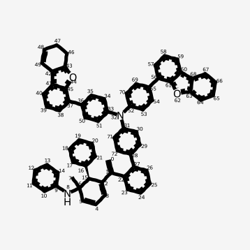 C=C(C1=CC=CC(C)(Nc2ccccc2)[C@H]1c1ccccc1)c1ccccc1-c1ccc(N(c2ccc(-c3cccc4c5c(oc34)CCC=C5)cc2)c2ccc(-c3cccc4c3oc3ccccc34)cc2)cc1